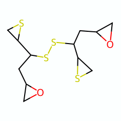 C1OC1CC(SSC(CC1CO1)C1CS1)C1CS1